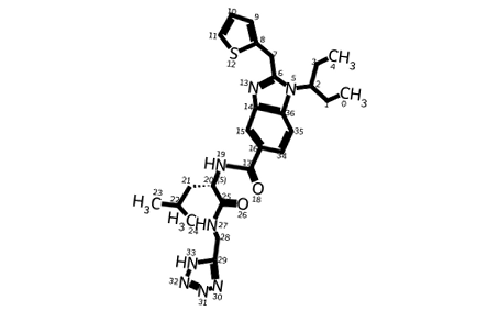 CCC(CC)n1c(Cc2cccs2)nc2cc(C(=O)N[C@@H](CC(C)C)C(=O)NCc3nnn[nH]3)ccc21